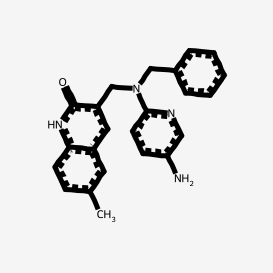 Cc1ccc2[nH]c(=O)c(CN(Cc3ccccc3)c3ccc(N)cn3)cc2c1